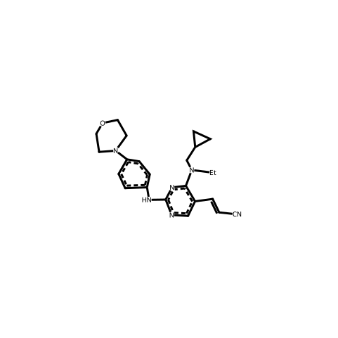 CCN(CC1CC1)c1nc(Nc2ccc(N3CCOCC3)cc2)ncc1C=CC#N